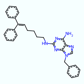 Nc1nc(NCCCCC=C(c2ccccc2)c2ccccc2)nc2c1ncn2Cc1ccccc1